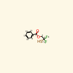 O=C(OCC(F)(F)S)c1ccccc1